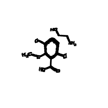 COc1c(Cl)ccc(Cl)c1C(=O)O.NCCO